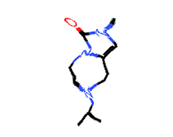 CC(C)N1CCn2c(cn(C)c2=O)C1